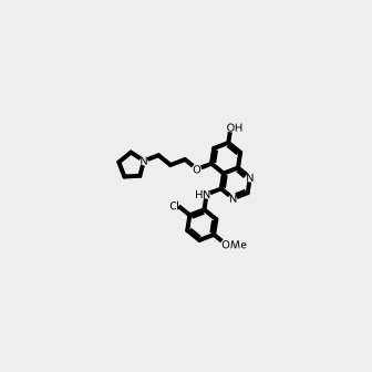 COc1ccc(Cl)c(Nc2ncnc3cc(O)cc(OCCCN4CCCC4)c23)c1